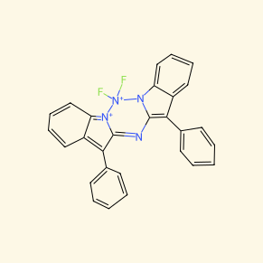 F[N+]1(F)n2c(c(-c3ccccc3)c3ccccc32)N=C2C(c3ccccc3)=c3ccccc3=[N+]21